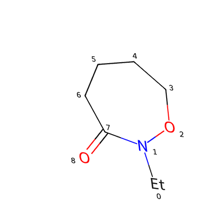 CCN1OCCCCC1=O